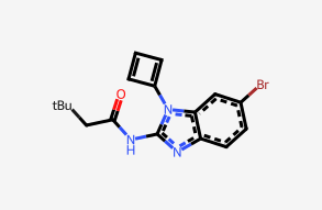 CC(C)(C)CC(=O)Nc1nc2ccc(Br)cc2n1C1=CC=C1